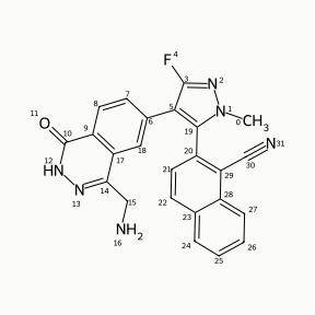 Cn1nc(F)c(-c2ccc3c(=O)[nH]nc(CN)c3c2)c1-c1ccc2ccccc2c1C#N